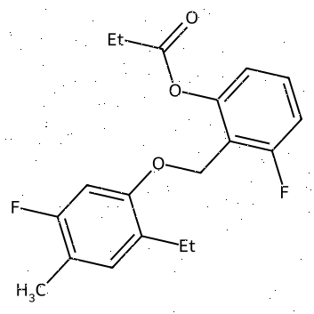 CCC(=O)Oc1cccc(F)c1COc1cc(F)c(C)cc1CC